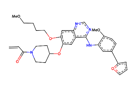 C=CC(=O)N1CCC(Oc2cc3c(Nc4cc(-c5ccco5)ccc4OC)ncnc3cc2OCCCCOC)CC1